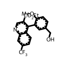 CCOC(=O)c1cnc2cc(C(F)(F)F)ccc2c1-c1cc(CO)ccc1OC